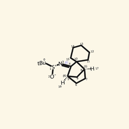 CC(C)(C)[S+]([O-])/N=C1\[C@@H]2CC[C@@H](C2)C12CCCCC2